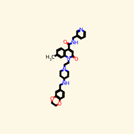 Cc1ccc2c(C(=O)NCc3cccnc3)cc(=O)n(CCN3CCC(NCc4ccc5c(c4)OCCO5)CC3)c2c1